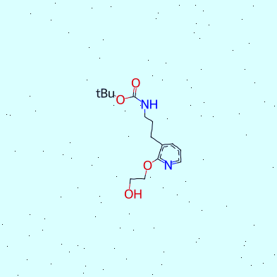 CC(C)(C)OC(=O)NCCCc1cccnc1OCCO